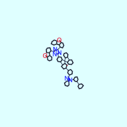 c1ccc(-c2cccc(-n3c(-c4cccc(-c5ccc6c(c5)C5(c7ccccc7-c7ccccc75)c5cc(-c7nc(-c8cccc9oc%10ccccc%10c89)nc(-c8cccc9oc%10ccccc%10c89)n7)ccc5-6)c4)nc4ccccc43)c2)cc1